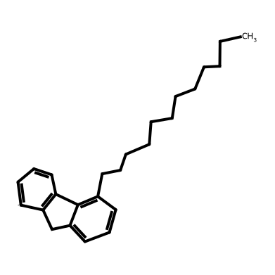 CCCCCCCCCCCCc1cccc2c1-c1ccc[c]c1C2